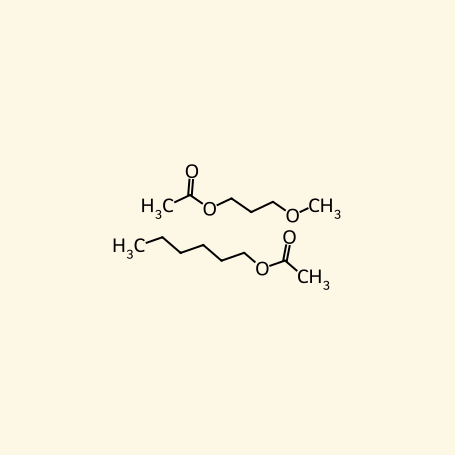 CCCCCCOC(C)=O.COCCCOC(C)=O